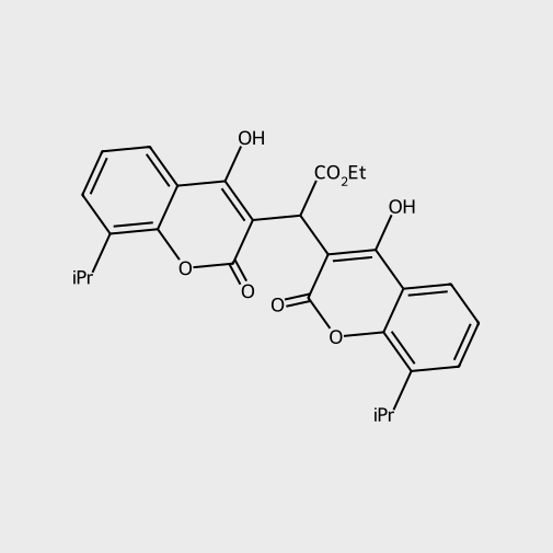 CCOC(=O)C(c1c(O)c2cccc(C(C)C)c2oc1=O)c1c(O)c2cccc(C(C)C)c2oc1=O